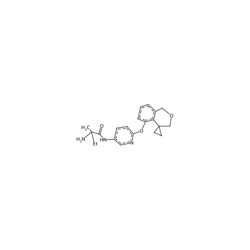 CCC(C)(N)C(=O)Nc1ccc(Oc2cccc3c2C2(CC2)COC3)nc1